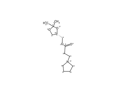 CC1(C)OC[C@@H](COC(=O)CCN2CCCC2)O1